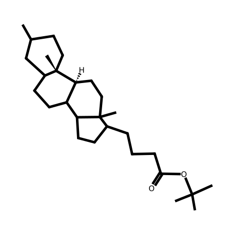 CC1CC[C@@]2(C)C(CCC3C4CCC(CCCC(=O)OC(C)(C)C)C4(C)CC[C@@H]32)C1